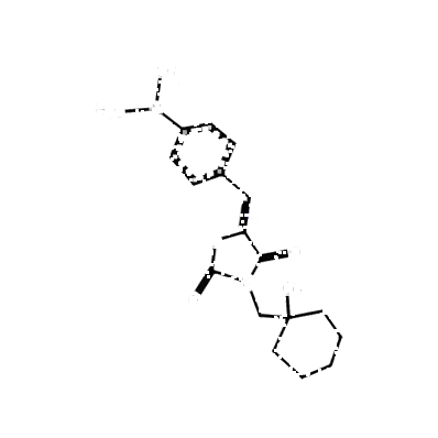 CN(C)c1ccc(/C=C2\SC(=O)N(CC3(C)CCCCC3)C2=O)cc1